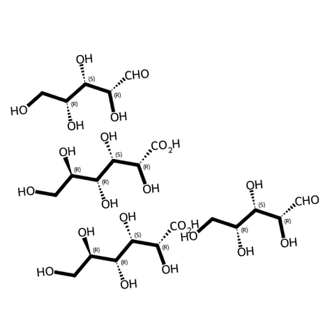 O=C(O)[C@H](O)[C@@H](O)[C@H](O)[C@H](O)CO.O=C(O)[C@H](O)[C@@H](O)[C@H](O)[C@H](O)CO.O=C[C@H](O)[C@@H](O)[C@H](O)CO.O=C[C@H](O)[C@@H](O)[C@H](O)CO